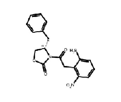 Bc1cccc([N+](=O)[O-])c1CC(=O)N1C(=O)OC[C@@H]1Cc1ccccc1